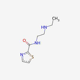 CCNCCNC(=O)c1nccs1